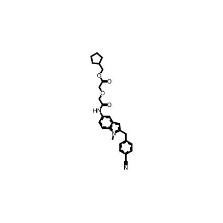 Cn1c(Cc2ccc(C#N)cc2)cc2cc(NC(=O)COCC(=O)OCC3CCCC3)ccc21